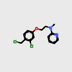 CN(CCOc1ccc(CCl)c(Cl)c1)c1ccccn1